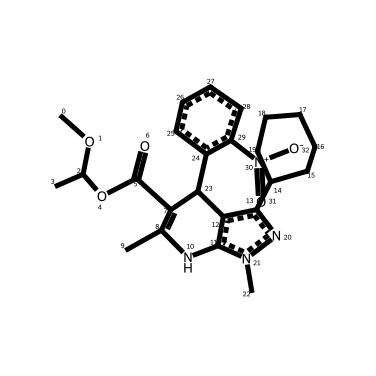 COC(C)OC(=O)C1=C(C)Nc2c(c(C3CCCCC3)nn2C)C1c1ccccc1[N+](=O)[O-]